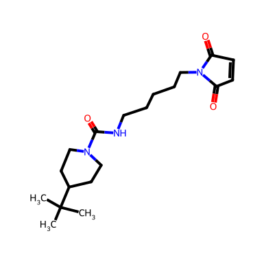 CC(C)(C)C1CCN(C(=O)NCCCCCN2C(=O)C=CC2=O)CC1